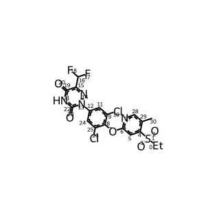 CCS(=O)(=O)c1cc(Oc2c(Cl)cc(-n3nc(C(F)F)c(=O)[nH]c3=O)cc2Cl)ncc1C